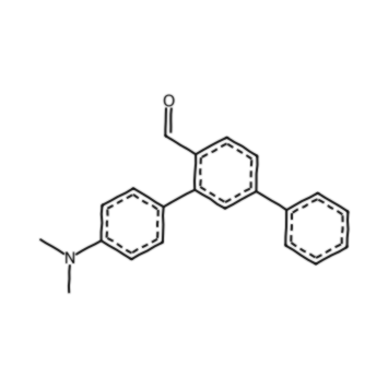 CN(C)c1ccc(-c2cc(-c3ccccc3)ccc2C=O)cc1